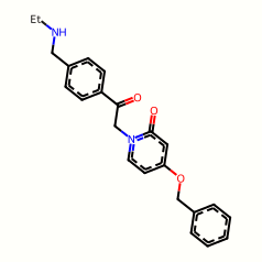 CCNCc1ccc(C(=O)Cn2ccc(OCc3ccccc3)cc2=O)cc1